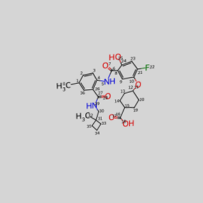 Cc1ccc(NC(=O)c2cc(OC3CCC(C(=O)O)CC3)c(F)cc2O)c(C(=O)NCC2(C)CCC2)c1